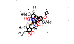 COc1cc2c(cc1OC1CCC1)CCN[C@]21CS[C@@H]2c3c(OC(C)=O)c(C)c4c(c3[C@H](COC1=O)N1[C@@H]2C2c3c(cc(C)c(OC)c3O)CC([C@@H]1O)N2C)OCO4